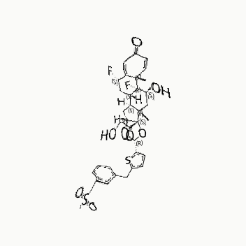 C[C@]12C=CC(=O)C=C1[C@@H](F)C[C@H]1[C@@H]3C[C@H]4O[C@@H](c5ccc(Cc6cccc(S(C)(=O)=O)c6)s5)O[C@@]4(C(=O)CO)[C@@]3(C)C[C@H](O)[C@@]12F